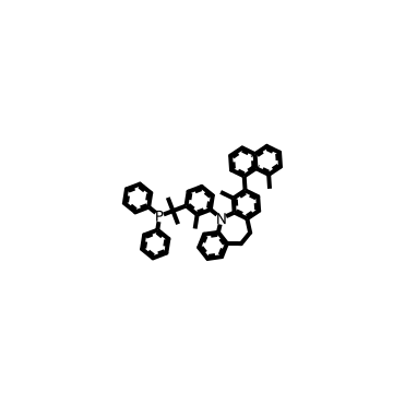 Cc1c(N2c3ccccc3CCc3ccc(-c4cccc5cccc(C)c45)c(C)c32)cccc1C(C)(C)P(c1ccccc1)c1ccccc1